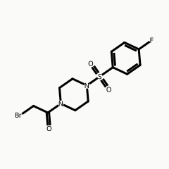 O=C(CBr)N1CCN(S(=O)(=O)c2ccc(F)cc2)CC1